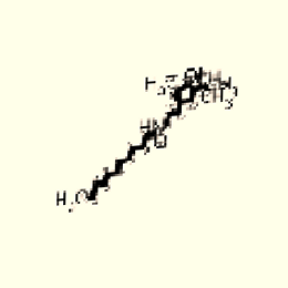 CCCCCCCCCCCC(=O)NCCCc1cc(C)c(O)c(C(C)(C)C)c1